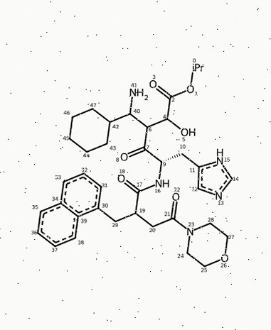 CC(C)OC(=O)C(O)C(C(=O)[C@H](Cc1cnc[nH]1)NC(=O)C(CC(=O)N1CCOCC1)Cc1cccc2ccccc12)C(N)C1CCCCC1